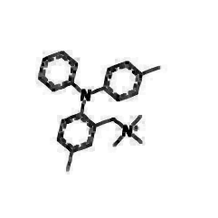 Cc1ccc(N(c2ccccc2)c2ccc(C)cc2C[N+](C)(C)C)cc1